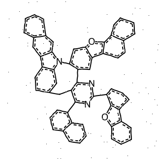 c1ccc2cc3c(cc2c1)c1ccc2cc1n3-c1cc3oc4c5ccccc5ccc4c3cc1-c1nc(-c3cccc4c3oc3ccccc34)nc(-c3cccc4ccccc34)c1C2